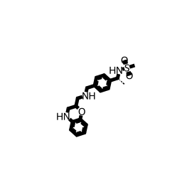 C[C@@H](NS(C)(=O)=O)c1ccc(CNCC2CNc3ccccc3O2)cc1